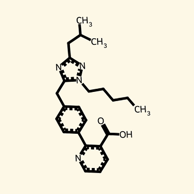 CCCCCn1nc(CC(C)C)nc1Cc1ccc(-c2ncccc2C(=O)O)cc1